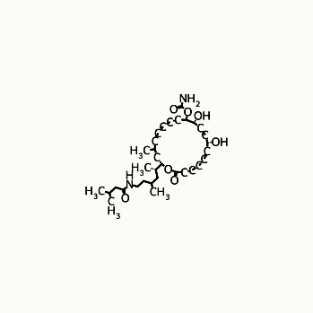 CC(C)CC(=O)NCCC(C)C[C@H](C)[C@H]1CC(C)CCCCC[C@@H](OC(N)=O)[C@H](O)CC[C@H](O)CCCCCC(=O)O1